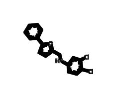 Clc1ccc(NCc2ccc(-c3ccccc3)o2)cc1Cl